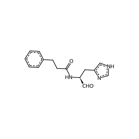 O=[C][C@H](Cc1c[nH]cn1)NC(=O)CCc1ccccc1